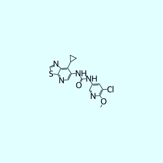 COc1ncc(NC(=O)Nc2cnc3scnc3c2C2CC2)cc1Cl